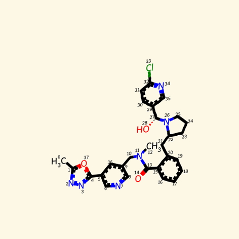 Cc1nnc(-c2cncc(CN(C)C(=O)c3ccccc3CC3CCCN3[C@H](O)c3ccc(Cl)nc3)c2)o1